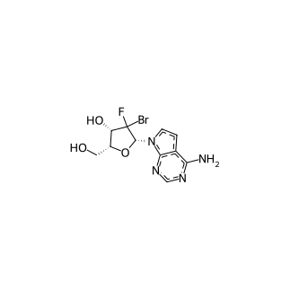 Nc1ncnc2c1ccn2[C@@H]1O[C@H](CO)[C@H](O)C1(F)Br